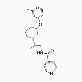 Cc1cccc(OC2CCCC(C(C)CNC(=O)c3ccncc3)C2)c1